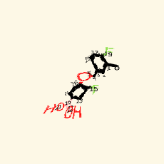 Cc1cc(COc2ccc(B(O)O)cc2F)ccc1F